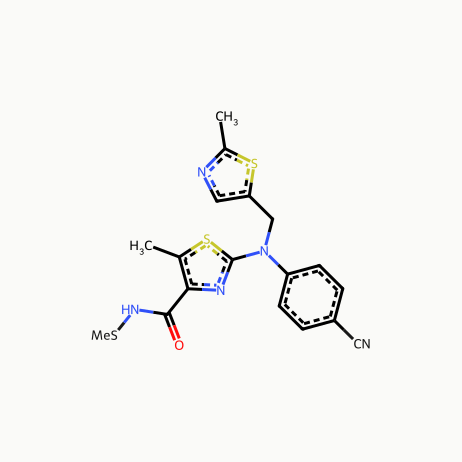 CSNC(=O)c1nc(N(Cc2cnc(C)s2)c2ccc(C#N)cc2)sc1C